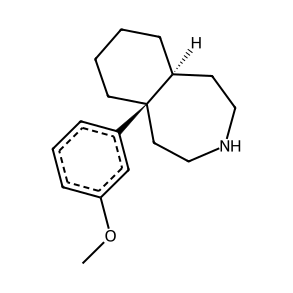 COc1cccc([C@@]23CCCC[C@H]2CCNCC3)c1